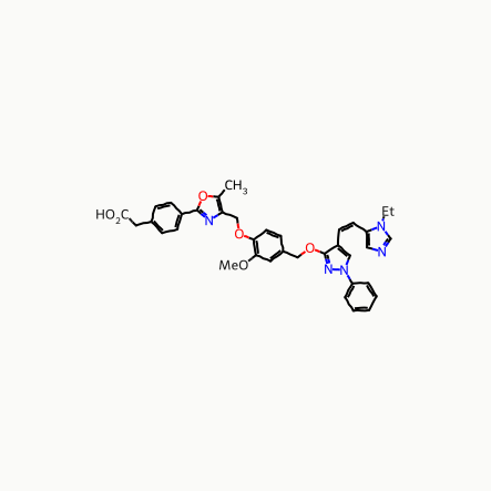 CCn1cncc1/C=C\c1cn(-c2ccccc2)nc1OCc1ccc(OCc2nc(-c3ccc(CC(=O)O)cc3)oc2C)c(OC)c1